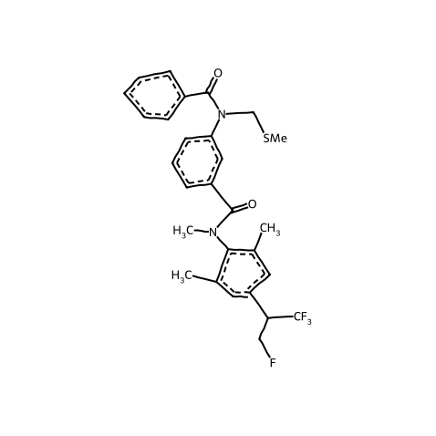 CSCN(C(=O)c1ccccc1)c1cccc(C(=O)N(C)c2c(C)cc(C(CF)C(F)(F)F)cc2C)c1